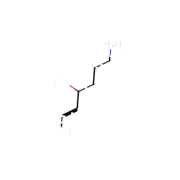 CC=CC(O)CCCN